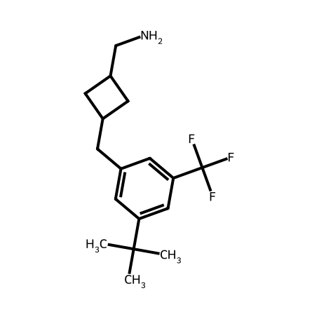 CC(C)(C)c1cc(CC2CC(CN)C2)cc(C(F)(F)F)c1